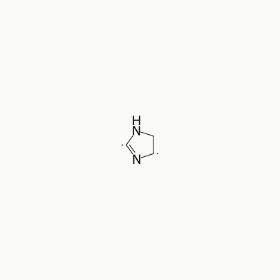 [C]1=N[CH]CN1